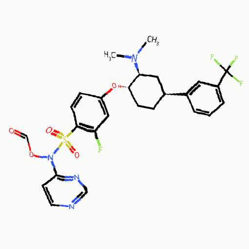 CN(C)[C@H]1C[C@@H](c2cccc(C(F)(F)F)c2)CC[C@@H]1Oc1ccc(S(=O)(=O)N(OC=O)c2ccncn2)c(F)c1